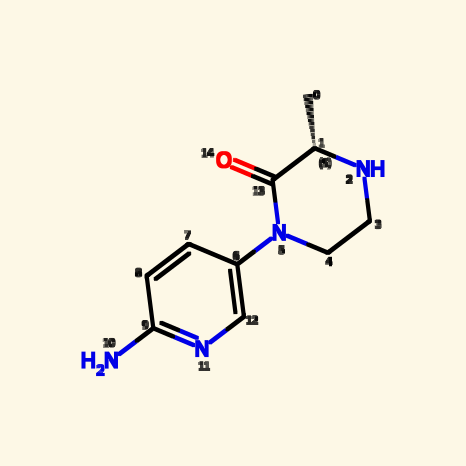 C[C@@H]1NCCN(c2ccc(N)nc2)C1=O